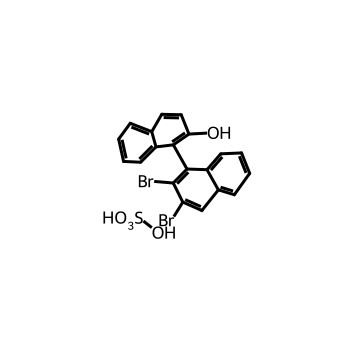 O=S(=O)(O)O.Oc1ccc2ccccc2c1-c1c(Br)c(Br)cc2ccccc12